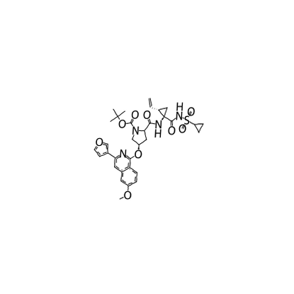 C=C[C@@H]1C[C@]1(NC(=O)C1C[C@@H](Oc2nc(-c3ccoc3)cc3cc(OC)ccc23)CN1C(=O)OC(C)(C)C)C(=O)NS(=O)(=O)C1CC1